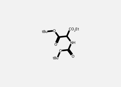 CCOC(=O)C(NC(=O)OC(C)(C)C)C(=O)OC(C)(C)C